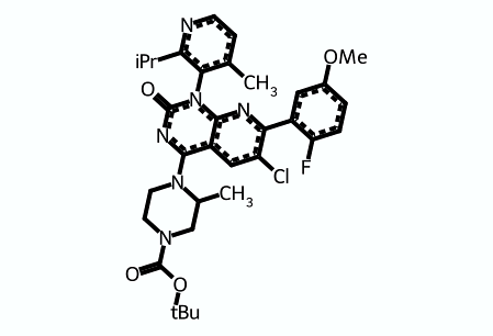 COc1ccc(F)c(-c2nc3c(cc2Cl)c(N2CCN(C(=O)OC(C)(C)C)CC2C)nc(=O)n3-c2c(C)ccnc2C(C)C)c1